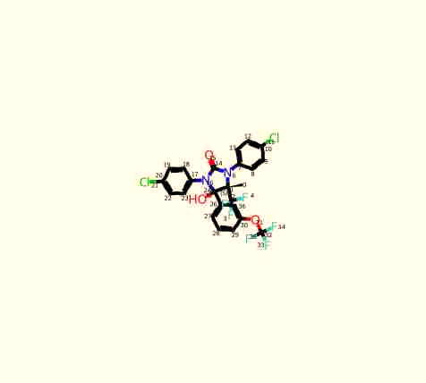 C[C@]1(C(F)(F)F)N(c2ccc(Cl)cc2)C(=O)N(c2ccc(Cl)cc2)C1(O)c1cccc(OC(F)(F)F)c1